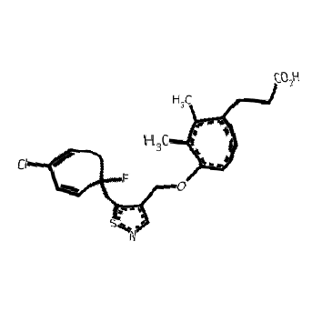 Cc1c(CCC(=O)O)ccc(OCc2cnsc2C2(F)C=CC(Cl)=CC2)c1C